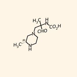 C[C@@H]1CN(CC(C)(C=O)NC(=O)O)CCN1